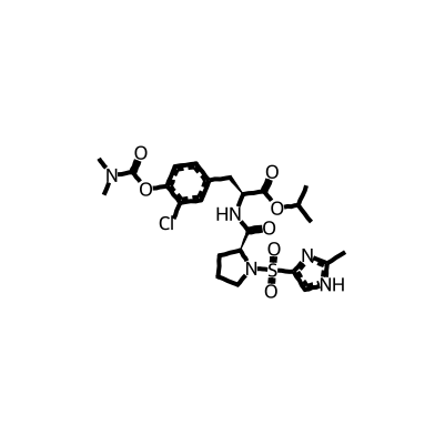 Cc1nc(S(=O)(=O)N2CCC[C@H]2C(=O)N[C@@H](Cc2ccc(OC(=O)N(C)C)c(Cl)c2)C(=O)OC(C)C)c[nH]1